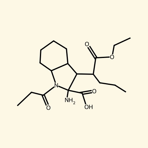 CCCC(C(=O)OCC)C1C2CCCCC2N(C(=O)CC)C1(N)C(=O)O